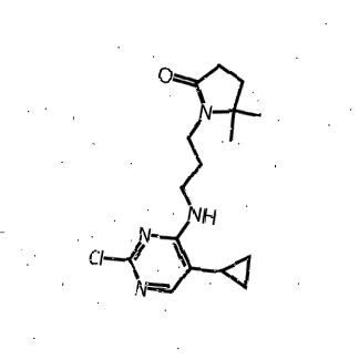 CC1(C)CCC(=O)N1CCCNc1nc(Cl)ncc1C1CC1